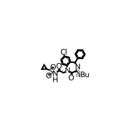 CC[C@H](C)[C@@H]1N=C(c2ccccc2)c2cc(Cl)ccc2N(CC(=O)NS(=O)(=O)C2CC2)C1=O